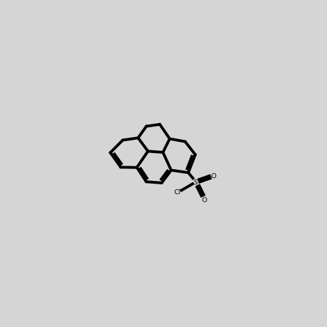 O=S(=O)(Cl)C1=CCC2CCC3CC=CC4=CC=C1C2C43